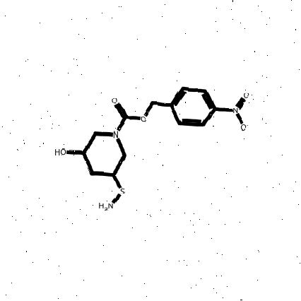 NSC1CC(O)CN(C(=O)OCc2ccc([N+](=O)[O-])cc2)C1